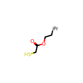 CC(C)CCOC(=O)CS